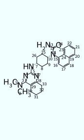 CN(C)c1nc(N[C@H]2CC[C@@H](N(C(N)=O)c3cccc4ccccc34)CC2)nc2c1CCCC2